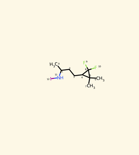 CC(CCC1C(C)(C)C1(F)F)NI